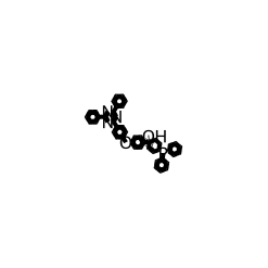 O[C@@]1(c2ccc(Oc3ccc(-c4nc(-c5ccccc5)nc(-c5ccccc5)n4)cc3)cc2)C=CC(P(c2ccccc2)c2ccccc2)CC1